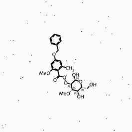 COc1cc(OCc2ccccc2)cc(C)c1C(=O)OO[C@@H]1[C@@H](OC)[C@H](O)[C@@H](CO)O[C@@H]1O